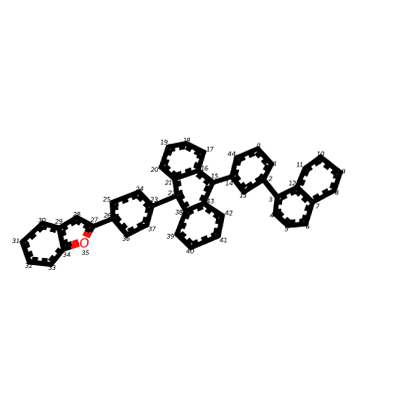 c1cc(-c2cccc3ccccc23)cc(-c2c3ccccc3c(-c3ccc(-c4cc5ccccc5o4)cc3)c3ccccc23)c1